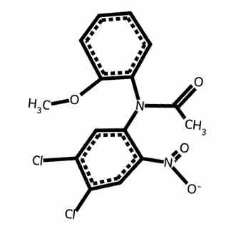 COc1ccccc1N(C(C)=O)c1cc(Cl)c(Cl)cc1[N+](=O)[O-]